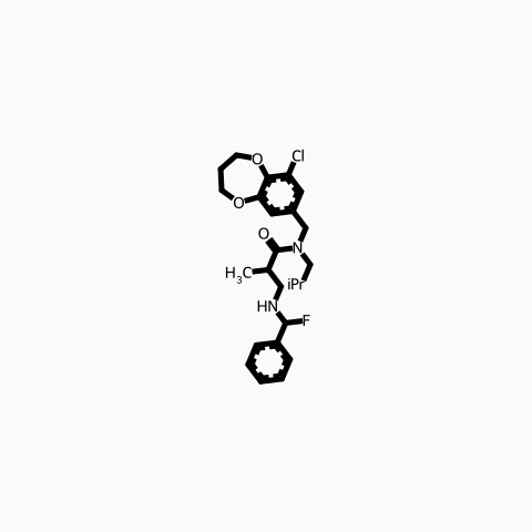 CC(C)CN(Cc1cc(Cl)c2c(c1)OCCCO2)C(=O)C(C)CNC(F)c1ccccc1